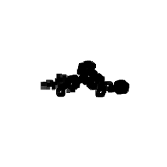 CCCN(CC)C(=O)c1ccc(C2=CC3(CCN(C(=O)OCc4ccccc4)CC3)Cc3ccccc32)cn1